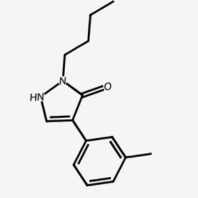 CCCCn1[nH]cc(-c2cccc(C)c2)c1=O